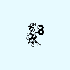 CC(C)Cn1c(=O)n(C)c(=O)c2c(C(=O)N3CC(C)(O)CO3)n(Cc3cccc4cccnc34)cc21